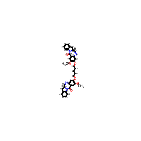 COc1cc2c(cc1OCCCCCOc1cc3c(cc1OC)C(=O)N1c4ccccc4C[C@H]1C=N3)N=C[C@@H]1Cc3ccccc3N1C2=O